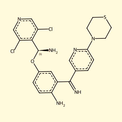 N=C(c1ccc(N2CCSCC2)nc1)c1cc(O[C@H](N)c2c(Cl)cncc2Cl)ccc1N